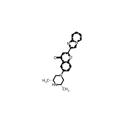 C[C@@H]1CN(c2ccc3oc(-c4cn5ccccc5n4)cc(=O)c3c2)C[C@H](C)N1